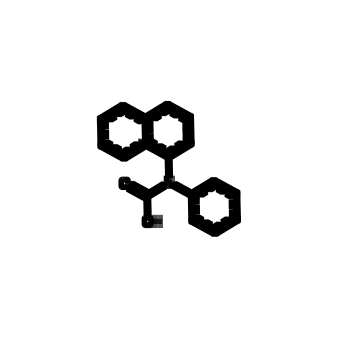 O=C(O)N(c1ccccc1)c1cccc2ccccc12